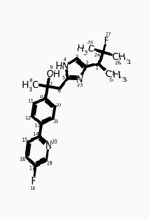 CC(c1c[nH]c(CC(C)(O)c2ccc(-c3ccc(F)cn3)cc2)n1)C(C)(C)F